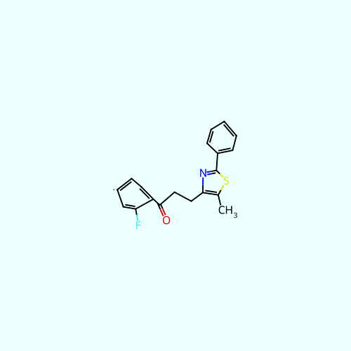 Cc1sc(-c2ccccc2)nc1CCC(=O)c1cc[c]cc1F